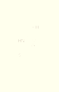 CCC(=O)NC1CSc2ccccc2C1=O